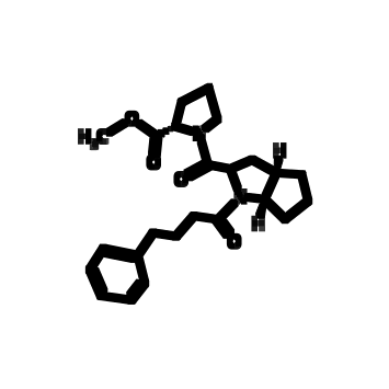 COC(=O)[C@@H]1CCCN1C(=O)C1C[C@@H]2CCC[C@@H]2N1C(=O)CCCc1ccccc1